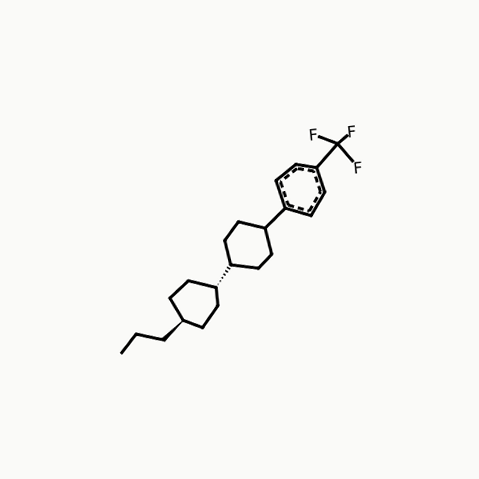 CCC[C@H]1CC[C@H](C2CCC(c3ccc(C(F)(F)F)cc3)CC2)CC1